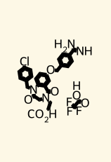 N=C(N)c1ccc(COc2ccc3c(c2)C(=O)N(CCC(=O)O)CC(=O)N3Cc2ccc(Cl)cc2)cc1.O=C(O)C(F)(F)F